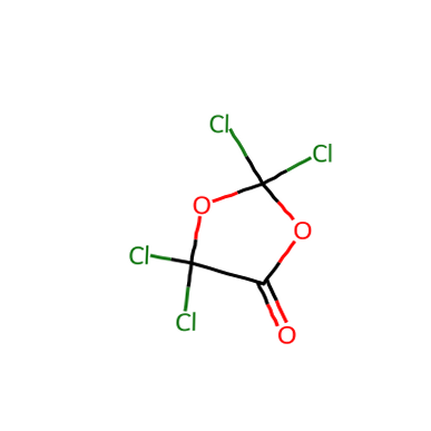 O=C1OC(Cl)(Cl)OC1(Cl)Cl